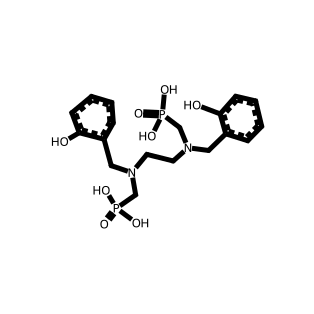 O=P(O)(O)CN(CCN(Cc1ccccc1O)CP(=O)(O)O)Cc1ccccc1O